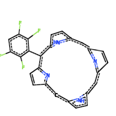 Fc1cc(F)c(F)c(-c2c3nc(cc4ccc(cc5nc(cc6ccc2[nH]6)C=C5)[nH]4)C=C3)c1F